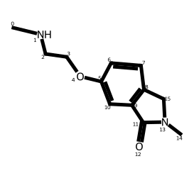 CNCCOc1ccc2c(c1)C(=O)N(C)C2